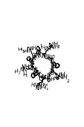 N=C(N)NCCCCN1CCCCC(=O)CN(Cc2ccccc2)C(=O)CN(CCCCNC(=N)N)C(=O)CN(Cc2ccccc2)C(=O)CN(CCCCNC(=N)N)C(=O)CN(Cc2ccccc2)C(=O)CN(CCCCNC(=N)N)C(=O)CN(Cc2ccccc2)C(=O)CN(CCCCNC(=N)N)C(=O)CN(Cc2ccccc2)C(=O)C1